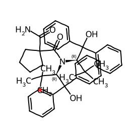 CC(C)(C)[C@@H](N(C(=O)C1(C(N)=O)CCCC1)[C@H](C(C)(C)C)C(O)(c1ccccc1)c1ccccc1)C(O)(c1ccccc1)c1ccccc1